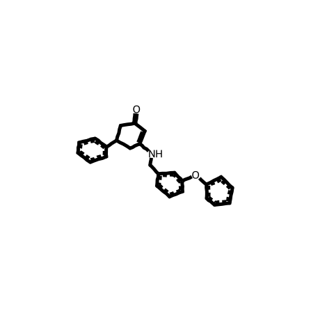 O=C1C=C(NCc2cccc(Oc3ccccc3)c2)CC(c2ccccc2)C1